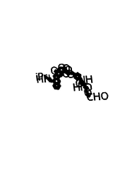 CC(C)NCCC1c2ccccc2CC2C3=CC4=C(COC(=O)[C@H]4OC(=O)OCc4ccc(NC(=O)CNC(=O)COCC=O)cc4)C(=O)C3CC21